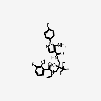 CCN(CC(O)(CNC(=O)c1cnn(-c2ccc(F)cc2)c1N)C(F)(F)F)C(=O)c1cccc(F)c1Cl